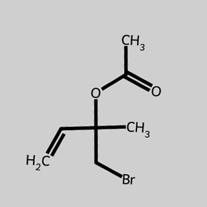 C=CC(C)(CBr)OC(C)=O